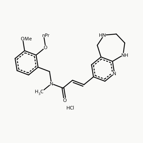 CCCOc1c(CN(C)C(=O)C=Cc2cnc3c(c2)CNCCN3)cccc1OC.Cl